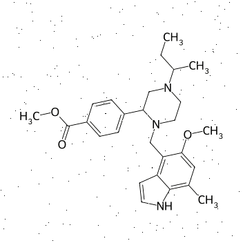 CCC(C)N1CCN(Cc2c(OC)cc(C)c3[nH]ccc23)C(c2ccc(C(=O)OC)cc2)C1